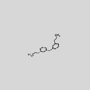 CCCc1cccc(Cc2cccc(CCC)c2)c1